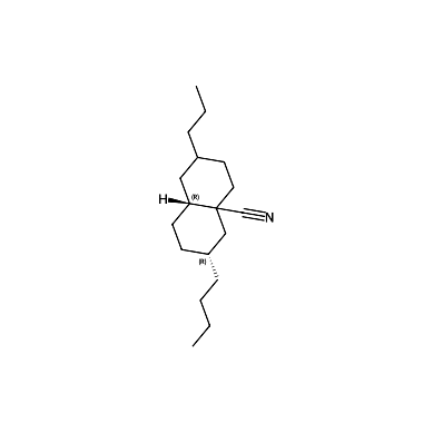 CCCC[C@@H]1CC[C@@H]2CC(CCC)CCC2(C#N)C1